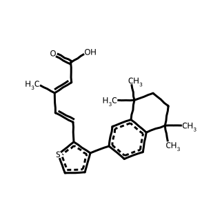 CC(C=Cc1sccc1-c1ccc2c(c1)C(C)(C)CCC2(C)C)=CC(=O)O